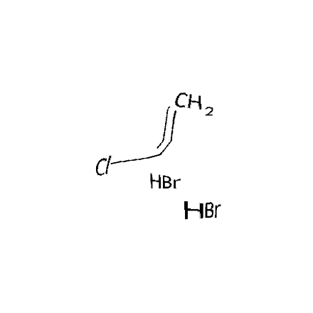 Br.Br.C=CCl